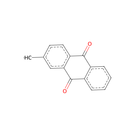 [CH]c1ccc2c(c1)C(=O)c1ccccc1C2=O